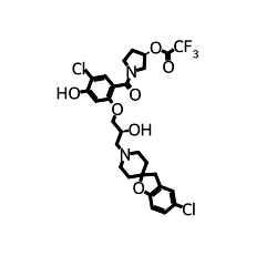 O=C(c1cc(Cl)c(O)cc1OC[C@@H](O)CN1CCC2(CC1)Cc1cc(Cl)ccc1O2)N1CC[C@H](OC(=O)C(F)(F)F)C1